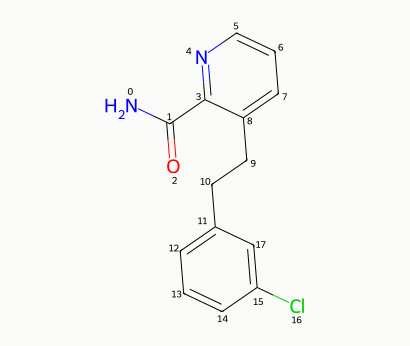 NC(=O)c1ncccc1CCc1cccc(Cl)c1